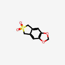 O=S1(=O)Cc2cc3c(cc2C1)OCO3